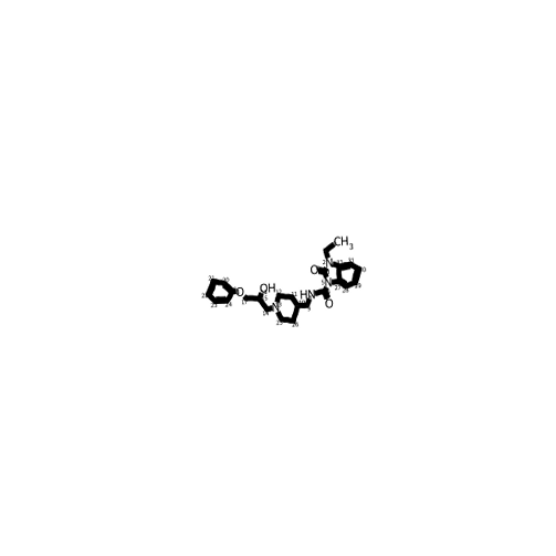 CCn1c(=O)n(C(=O)NCC2CCN(CC(O)COc3ccccc3)CC2)c2ccccc21